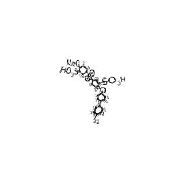 COc1ccc(S(=O)(=O)c2ccc(Oc3ccc(-c4ccc(C)cc4)cc3)c(S(=O)(=O)O)c2)cc1S(=O)(=O)O